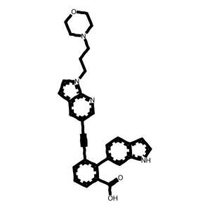 O=C(O)c1cccc(C#Cc2cnc3c(ccn3CCCN3CCOCC3)c2)c1-c1ccc2cc[nH]c2c1